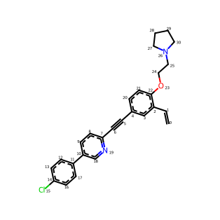 C=Cc1cc(C#Cc2ccc(-c3ccc(Cl)cc3)cn2)ccc1OCCN1CCCC1